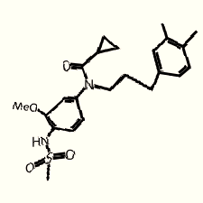 COc1cc(N(CCCc2ccc(C)c(C)c2)C(=O)C2CC2)ccc1NS(C)(=O)=O